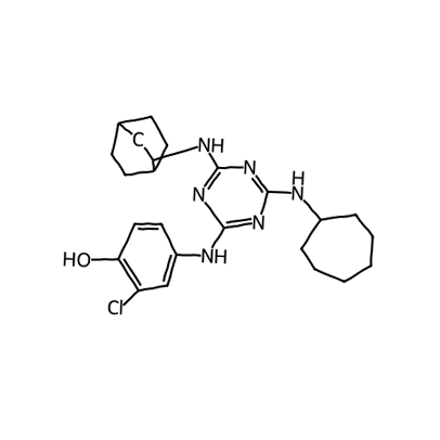 Oc1ccc(Nc2nc(NC3CCCCCC3)nc(NC3CC4CCC3CC4)n2)cc1Cl